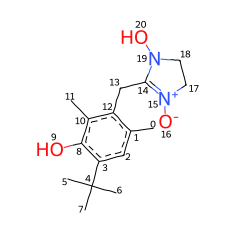 Cc1cc(C(C)(C)C)c(O)c(C)c1CC1=[N+]([O-])CCN1O